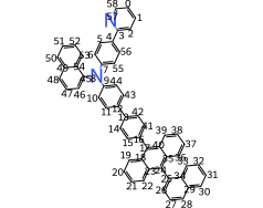 c1ccc(-c2ccc(N(c3ccc(-c4ccc(-c5c6ccccc6c(-c6cccc7ccccc67)c6ccccc56)cc4)cc3)c3cccc4ccccc34)cc2)nc1